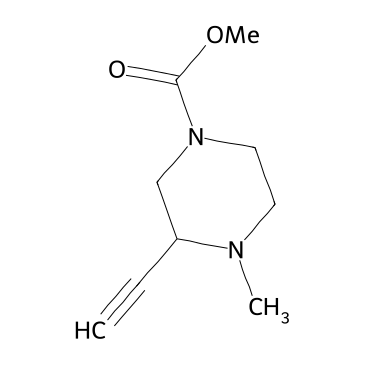 C#CC1CN(C(=O)OC)CCN1C